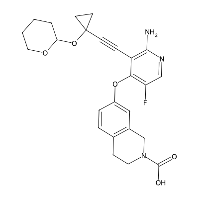 Nc1ncc(F)c(Oc2ccc3c(c2)CN(C(=O)O)CC3)c1C#CC1(OC2CCCCO2)CC1